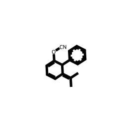 CC(C)=C1C=CC=C(OC#N)C1c1ccccc1